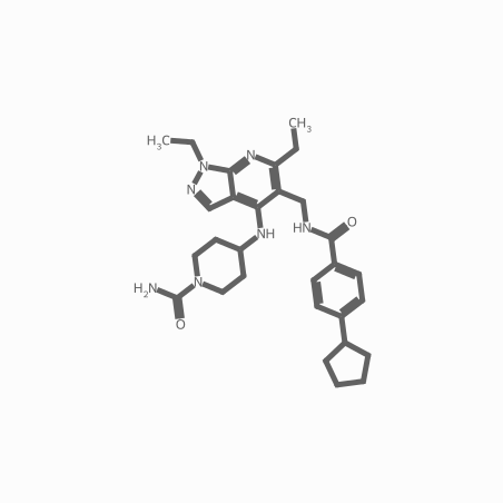 CCc1nc2c(cnn2CC)c(NC2CCN(C(N)=O)CC2)c1CNC(=O)c1ccc(C2CCCC2)cc1